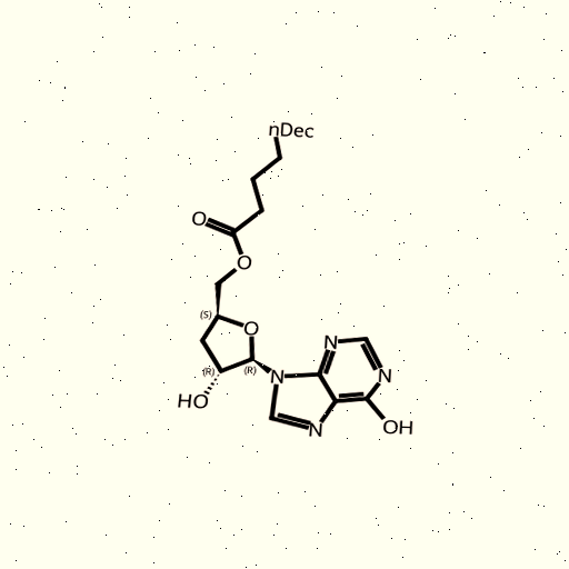 CCCCCCCCCCCCCC(=O)OC[C@@H]1C[C@@H](O)[C@H](n2cnc3c(O)ncnc32)O1